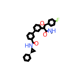 CNC(=O)c1c(-c2ccc(F)cc2)oc2ccc(-c3cccc(C(=O)N[C@H]4C[C@@H]4c4ccccc4)c3)cc12